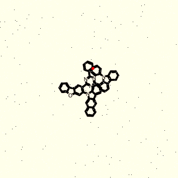 C1=Cc2c(c3cccc(-c4nc(-c5ccccc5)nc(-c5cc6c(cc5-n5c7ccccc7c7cc8ccccc8cc75)oc5ccccc56)n4)c3n2-c2ccccc2)CC1